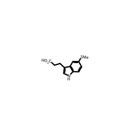 CSc1ccc2[nH]cc(CCC(=O)O)c2c1